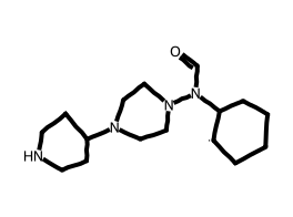 O=CN(C1[CH]CCCC1)N1CCN(C2CCNCC2)CC1